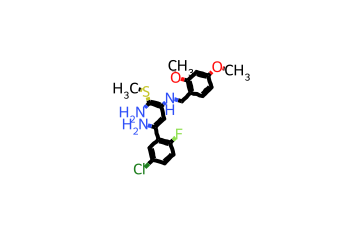 COc1ccc(CNC(/C=C(\N)c2cc(Cl)ccc2F)=C(/N)SC)c(OC)c1